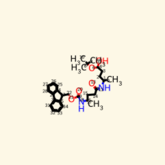 CC(CCC(O)OC(C)(C)C)NC(=O)CCC(C)NC(=O)OCC1c2ccccc2-c2ccccc21